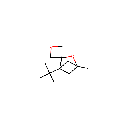 CC12CC(C(C)(C)C)(C1)C1(COC1)O2